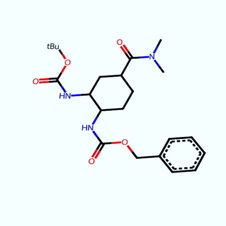 CN(C)C(=O)C1CCC(NC(=O)OCc2ccccc2)C(NC(=O)OC(C)(C)C)C1